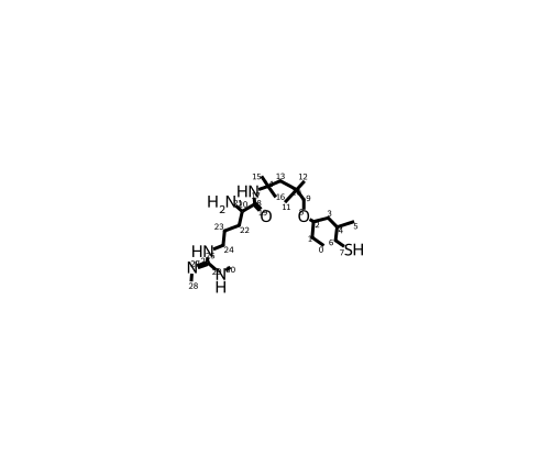 CCC(CC(C)CS)OCC(C)(C)CC(C)(C)NC(=O)C(N)CCCN/C(=N/C)NC